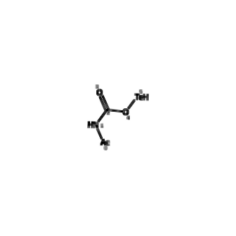 CC(=O)NC(=O)O[TeH]